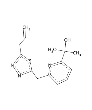 C=CCc1nnc(Cc2cccc(C(C)(C)O)n2)s1